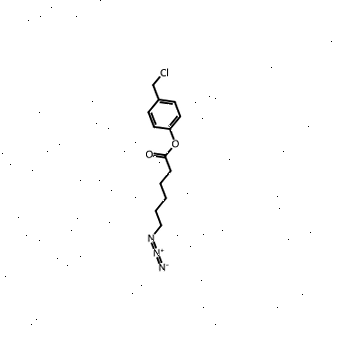 [N-]=[N+]=NCCCCCC(=O)Oc1ccc(CCl)cc1